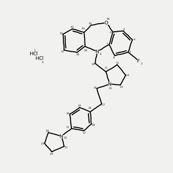 Cl.Cl.Fc1ccc2c(c1)N(CC1CCCN1CCc1ccc(N3CCCC3)cc1)c1ccccc1CO2